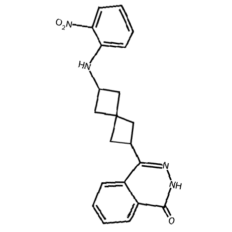 O=c1[nH]nc(C2CC3(CC(Nc4ccccc4[N+](=O)[O-])C3)C2)c2ccccc12